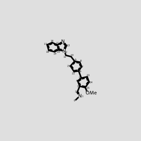 C/N=C/c1cc(-c2ccc(CCn3cnc4ccccc43)cc2)ccc1OC